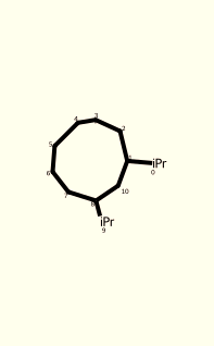 CC(C)C1C[CH]CCCCC(C(C)C)C1